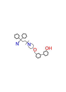 CC(C)(CCC(C#N)(c1ccccc1)c1ccccc1)N1CCC(OCc2cccc(-c3cccc(O)c3)c2)CC1